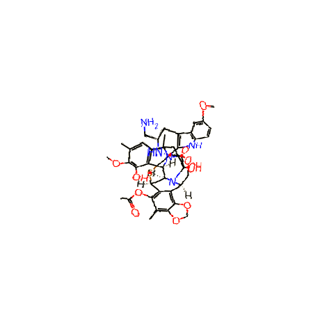 COc1ccc2[nH]c3c(c2c1)C[C@H](CN)N[C@]31CS[C@@H]2c3c(OC(C)=O)c(C)c4c(c3[C@H](COC1=O)N1[C@@H]2[C@H]2c3c(cc(C)c(OC)c3O)C3(C)CC1(O)CN23)OCO4